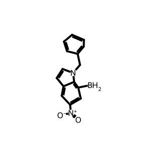 Bc1cc([N+](=O)[O-])cc2ccn(Cc3ccccc3)c12